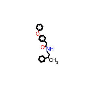 CC(CCNC(=O)Cc1ccc(Oc2ccccc2)cc1)c1ccccc1